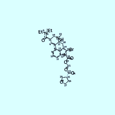 CCN(CC)C(=O)[C@@H]1C=C2c3cccc4c3c(c(Br)n4C(=O)OCOC(=O)[C@@H]3CCOC3)C[C@H]2N(C)C1